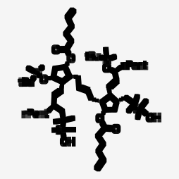 C=CCCCC(=O)O[C@H]1C[C@@H](O[Si](C)(C)C(C)(C)C)[C@H](/C=C/[C@H](CCCCC)CC(C)(C)[Si](C)(C)O)[C@H]1C/C=C/C[C@@H]1[C@@H](/C=C/[C@H](CCCCC)O[Si](C)(C)C(C)(C)C)[C@H](CC(C)(C)[Si](C)(C)O)C[C@@H]1OC(=O)CCCC=C